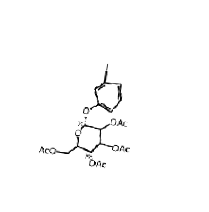 CC(=O)OCC1O[C@H](Oc2cccc(I)c2)C(OC(C)=O)C(OC(C)=O)[C@@H]1OC(C)=O